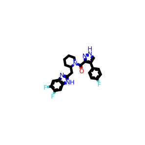 O=C(c1n[nH]cc1-c1ccc(F)cc1)N1CCCCC1Cc1nc2cc(F)c(F)cc2[nH]1